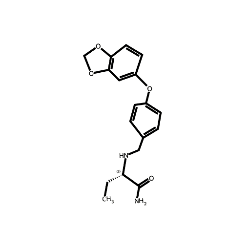 CC[C@H](NCc1ccc(Oc2ccc3c(c2)OCO3)cc1)C(N)=O